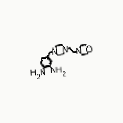 Nc1ccc(CN2CCN(CCN3CCOCC3)CC2)cc1N